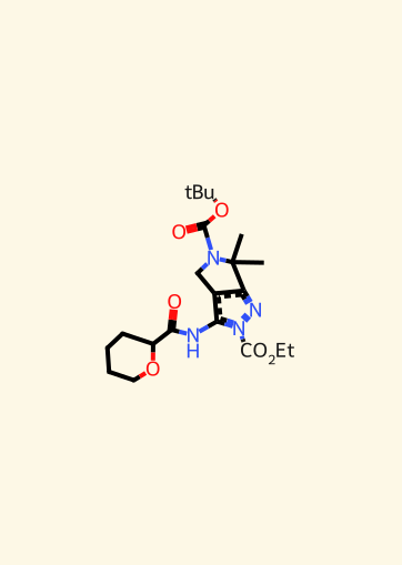 CCOC(=O)n1nc2c(c1NC(=O)C1CCCCO1)CN(C(=O)OC(C)(C)C)C2(C)C